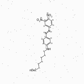 CCCCCCCCCCCCCCCCNc1ccc(/N=N/c2ccc([N+](=O)[O-])c([N+](=O)[O-])c2)cc1